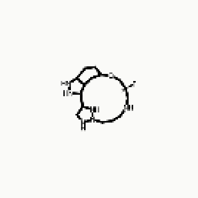 F[C@H]1CNCCCN2NCC(N2)C2NNC3CCC(CC32)OC1